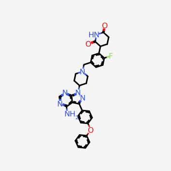 Nc1ncnc2c1c(-c1ccc(Oc3ccccc3)cc1)nn2C1CCN(Cc2ccc(F)c(C3CCC(=O)NC3=O)c2)CC1